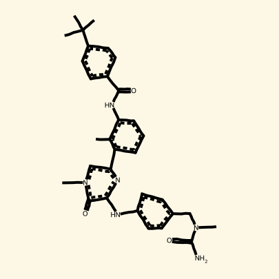 Cc1c(NC(=O)c2ccc(C(C)(C)C)cc2)cccc1-c1cn(C)c(=O)c(Nc2ccc(CN(C)C(N)=O)cc2)n1